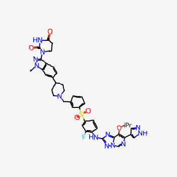 CC(C)Oc1c(-c2cn[nH]c2)ncn2nc(Nc3ccc(S(=O)(=O)c4cccc(CN5CCC(c6ccc7c(N8CCC(=O)NC8=O)nn(C)c7c6)CC5)c4)cc3F)nc12